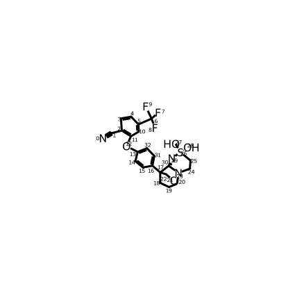 N#Cc1ccc(C(F)(F)F)cc1Oc1ccc(C23CCC(CC2)N2CCS(O)(O)N=C23)cc1